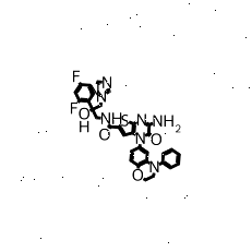 Nc1nc2sc(C(=O)NCC(O)(Cn3cncn3)c3ccc(F)cc3F)cc2n(-c2ccc3c(c2)N(c2ccccc2)CCO3)c1=O